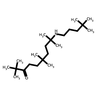 CC(C)(C)CCCNC(C)(C)CCC(C)(C)CCC(=O)C(C)(C)C